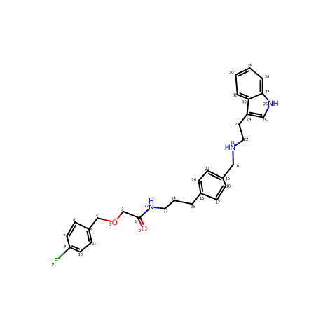 O=C(COCc1ccc(F)cc1)NCCCc1ccc(CNCCc2c[nH]c3ccccc23)cc1